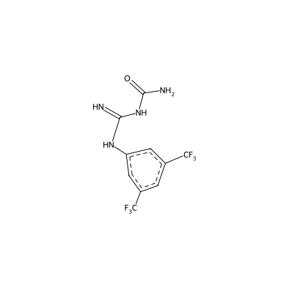 N=C(NC(N)=O)Nc1cc(C(F)(F)F)cc(C(F)(F)F)c1